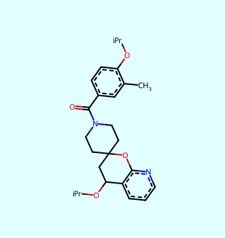 Cc1cc(C(=O)N2CCC3(CC2)CC(OC(C)C)c2cccnc2O3)ccc1OC(C)C